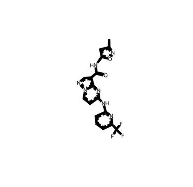 Cc1cc(NC(=O)c2cnn3ccc(Nc4cccc(C(F)(F)F)n4)nc23)on1